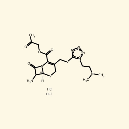 CC(=O)COC(=O)C1=C(CSc2nnnn2CCN(C)C)CS[C@H]2C(N)C(=O)N12.Cl.Cl